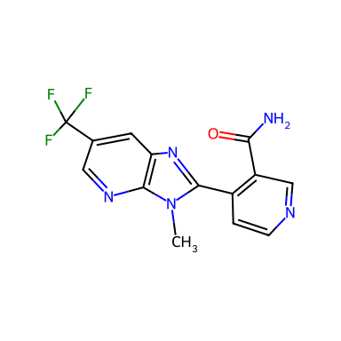 Cn1c(-c2ccncc2C(N)=O)nc2cc(C(F)(F)F)cnc21